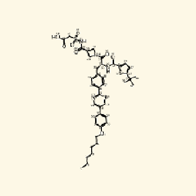 CCCCCCCOc1ccc(-c2cnc(-c3ccc(C[C@H](NC(=O)c4ccc(C(C)(C)C)s4)C(=O)N4CC(C(=O)NS(=O)(=O)CC(=O)O)C4)cc3)nc2)cc1